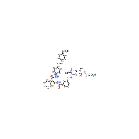 CCC(CC)N(CCc1cccc(C(=O)Nc2sc3c(c2C(=O)Nc2ccc(CCc4ccc(C(=O)O)cc4)cc2)CCCC3)c1)CCN(C)C(=O)CCC(=O)O